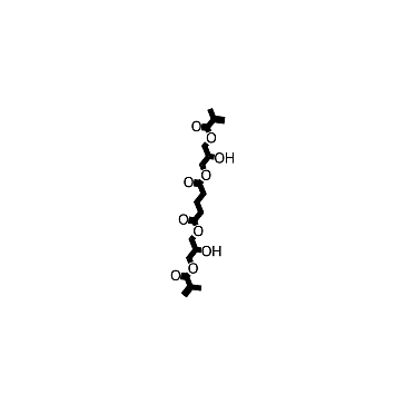 C=C(C)C(=O)OCC(O)COC(=O)CCCC(=O)OCC(O)COC(=O)C(=C)C